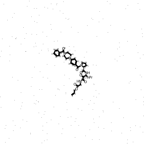 C=CCOC(=O)CNC(=O)C(=O)C(CCC)NC(=O)[C@@H]1CCCN1C(=O)c1ccc(N2CCN(C(=O)c3ccccc3)CC2)cc1